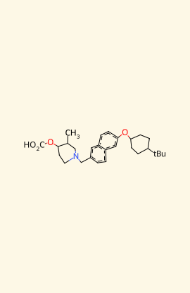 CC1CN(Cc2ccc3cc(OC4CCC(C(C)(C)C)CC4)ccc3c2)CCC1OC(=O)O